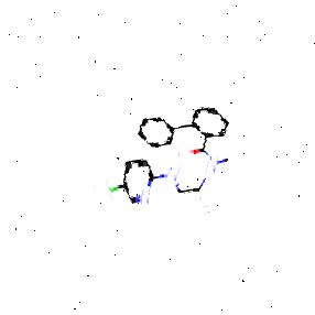 CC[C@@H](CNc1ccc(Cl)cn1)N(C)C(=O)c1ccccc1-c1ccccc1